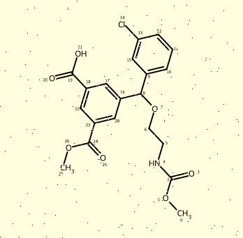 COC(=O)NCCOC(c1cccc(Cl)c1)c1cc(C(=O)O)cc(C(=O)OC)c1